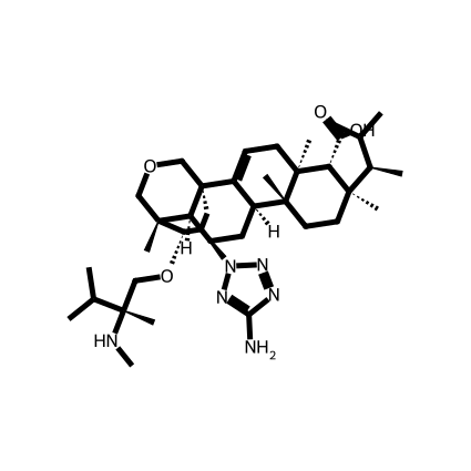 CN[C@@](C)(CO[C@H]1[C@H](n2nnc(N)n2)C[C@@]23COC[C@]1(C)[C@@H]2CC[C@H]1C3=CC[C@@]2(C)[C@H](C(=O)O)[C@@](C)([C@H](C)C(C)C)CC[C@]12C)C(C)C